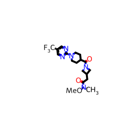 CON(C)C(=O)CC1CN(C(=O)C2CCN(c3ncc(C(F)(F)F)cn3)CC2)C1